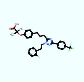 CC(C)(Oc1ccc(CCCc2nc(-c3ccc(C(F)(F)F)cc3)nn2CCc2ccccc2F)cc1)C(=O)O